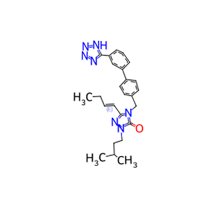 CC/C=C/c1nn(CCC(C)C)c(=O)n1Cc1ccc(-c2cccc(-c3nnn[nH]3)c2)cc1